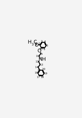 COc1ccccc1OCCNCCCc1ccccc1